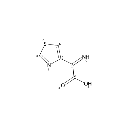 N=C(C(=O)O)c1cscn1